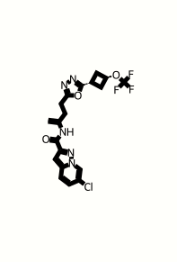 C=C(CCc1nnc([C@H]2C[C@@H](OC(F)(F)F)C2)o1)NC(=O)c1cc2ccc(Cl)cn2n1